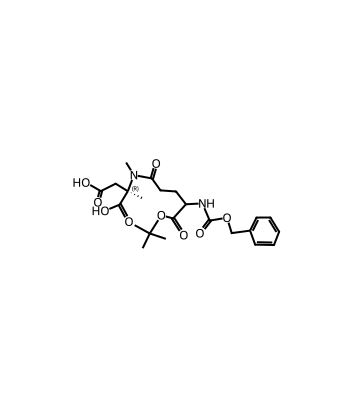 CN(C(=O)CCC(NC(=O)OCc1ccccc1)C(=O)OC(C)(C)C)[C@](C)(CC(=O)O)C(=O)O